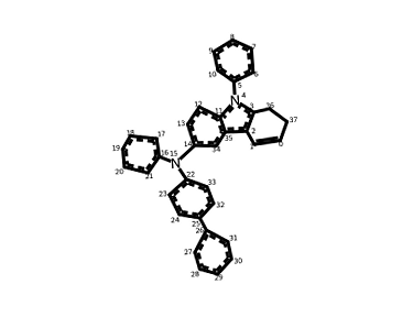 C1=Cc2c(n(-c3ccccc3)c3ccc(N(c4ccccc4)c4ccc(-c5ccccc5)cc4)cc23)CC1